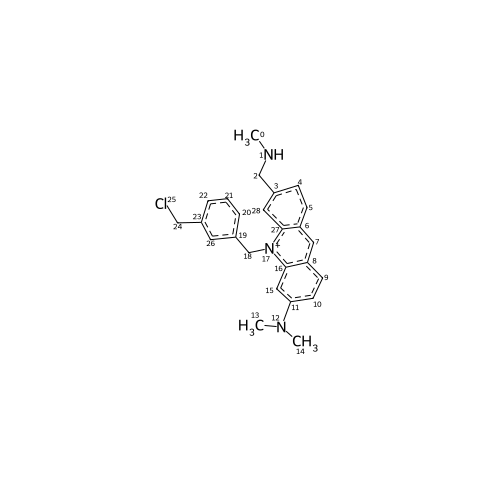 CNCc1ccc2cc3ccc(N(C)C)cc3[n+](Cc3cccc(CCl)c3)c2c1